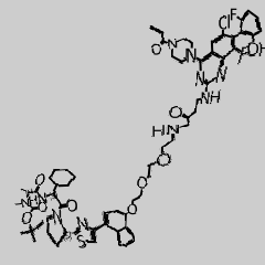 C=CC(=O)N1CCN(c2nc(NCCC(=O)CNCCOCCOCCOc3ccc(-c4csc([C@@H]5CCCN5C(=O)[C@@H](NC(=O)[C@H](C)N(C)C(=O)OC(C)(C)C)C5CCCCC5)n4)c4ccccc34)nc3c(F)c(-c4c(O)cccc4F)c(Cl)cc23)CC1